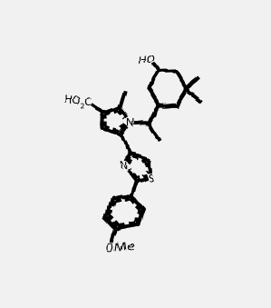 COc1ccc(-c2nc(-c3cc(C(=O)O)c(C)n3C(C)C3CC(O)CC(C)(C)C3)cs2)cc1